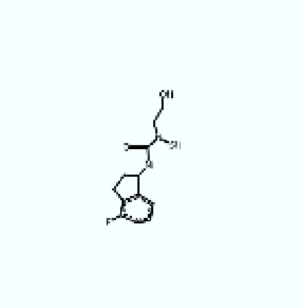 O=C(NC1CCc2c(F)cccc21)N(S)CCO